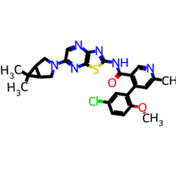 COc1ccc(Cl)cc1-c1cc(C)ncc1C(=O)Nc1nc2ncc(N3CC4C(C3)C4(C)C)nc2s1